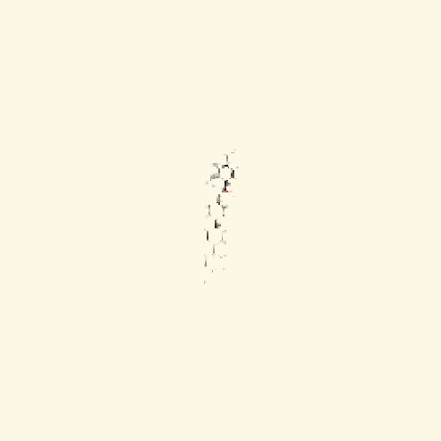 CCCC1CCC(C2CCC(C3CC=C(CC(=O)c4ccc(CC)c(F)c4C(F)(F)F)CC3)CC2)CC1